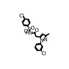 Cc1cc(CC(=O)NS(=O)(=O)c2ccc(Cl)cc2)n(-c2cccc(Cl)c2)n1